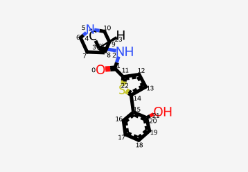 O=C(N[C@H]1CN2CCC1CC2)c1ccc(-c2ccccc2O)s1